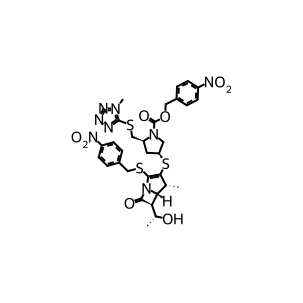 C[C@@H](O)[C@H]1C(=O)N2C(SCc3ccc([N+](=O)[O-])cc3)=C(S[C@H]3C[C@@H](CSc4nnnn4C)N(C(=O)OCc4ccc([N+](=O)[O-])cc4)C3)[C@H](C)[C@H]12